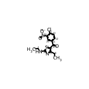 CCNc1nc(CC)c(C(=O)c2ccc(Cl)c([N+](=O)[O-])c2)s1